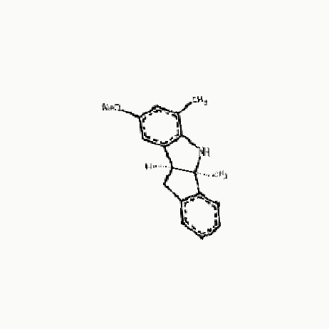 COc1cc(C)c2c(c1)[C@@H]1Cc3ccccc3[C@]1(C)N2